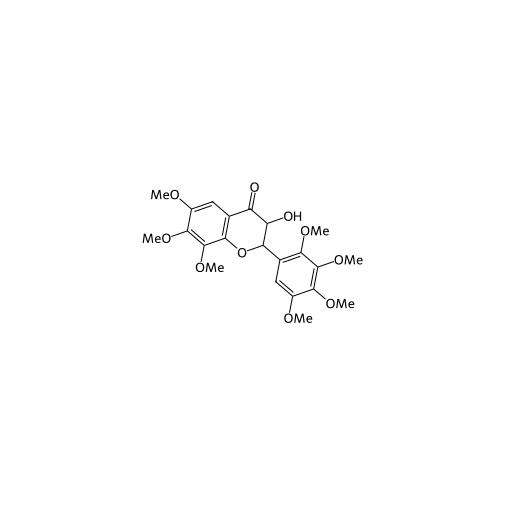 COc1cc2c(c(OC)c1OC)OC(c1cc(OC)c(OC)c(OC)c1OC)C(O)C2=O